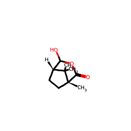 CC1(C)[C@@H]2CC[C@@]1(C)C(=O)OC2O